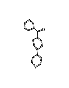 O=C(c1ccccc1)c1ccc(-c2cc[c]cc2)cc1